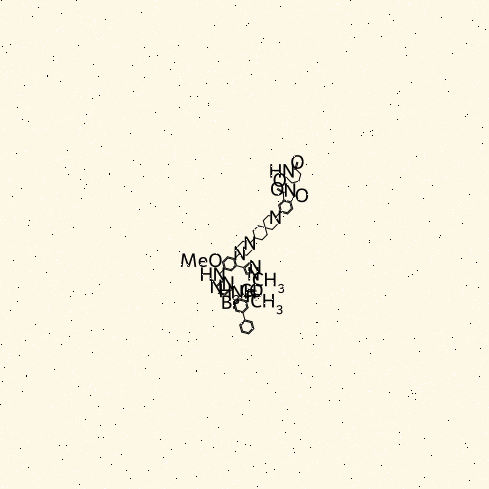 COc1cc(N2CCN(C3CCC4(CC3)CCN(c3ccc5c(c3)C(=O)N(C3CCC(=O)NC3=O)C5=O)CC4)CC2)c(-c2cnn(C)c2)cc1Nc1ncc(Br)c(Nc2ccc(-c3ccccc3)cc2P(C)(C)=O)n1